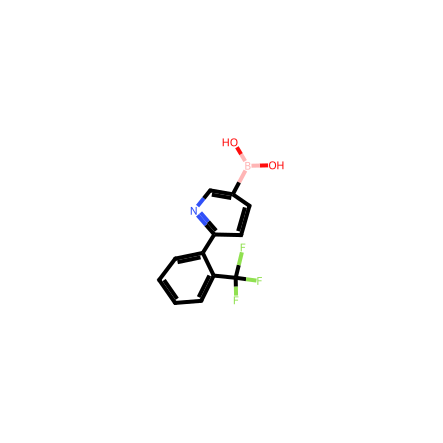 OB(O)c1ccc(-c2ccccc2C(F)(F)F)nc1